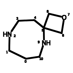 C1CNCCC2(COC2)NC1